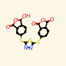 O=C1OC(=O)c2cc(Sc3nnc(Sc4ccc5c(c4)C(=O)OC5O)s3)ccc21